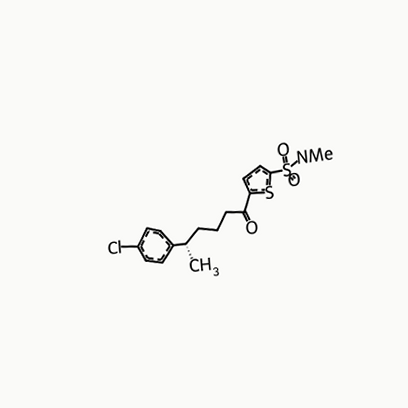 CNS(=O)(=O)c1ccc(C(=O)CCC[C@H](C)c2ccc(Cl)cc2)s1